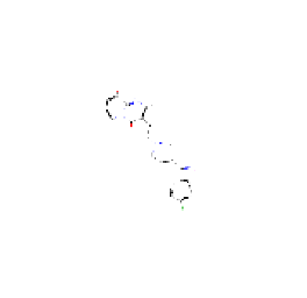 Cc1nc2c(O)cccn2c(=O)c1CCN1CCC(c2noc3cc(F)ccc23)CC1